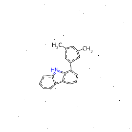 Cc1cc(C)cc(-c2cccc3c2[nH]c2ccccc23)c1